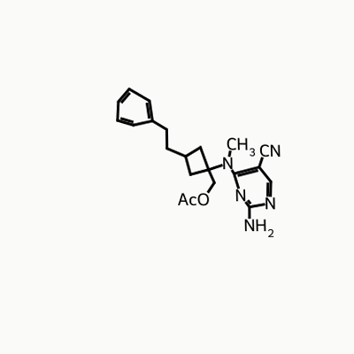 CC(=O)OCC1(N(C)c2nc(N)ncc2C#N)CC(CCc2ccccc2)C1